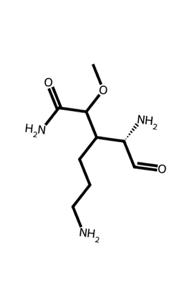 COC(C(N)=O)C(CCCN)[C@H](N)C=O